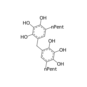 CCCCCc1cc(Cc2cc(CCCCC)c(O)c(O)c2O)c(O)c(O)c1O